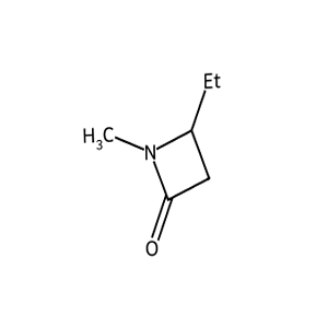 CCC1CC(=O)N1C